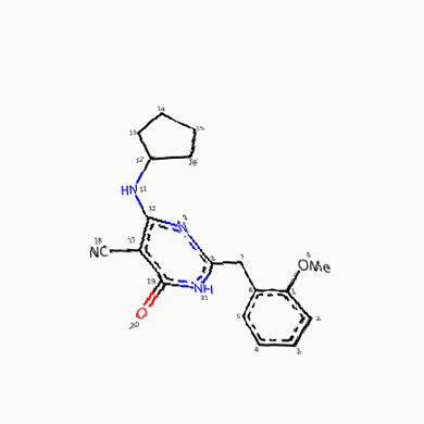 COc1ccccc1Cc1nc(NC2CCCC2)c(C#N)c(=O)[nH]1